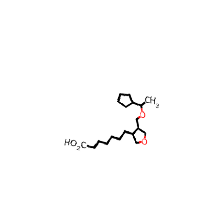 CC(OCC1COCC1CCCCCCC(=O)O)C1CCCC1